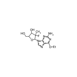 CCOc1nc(N)nc2c1ncn2C1OC(CO)C(O)C1(C)F